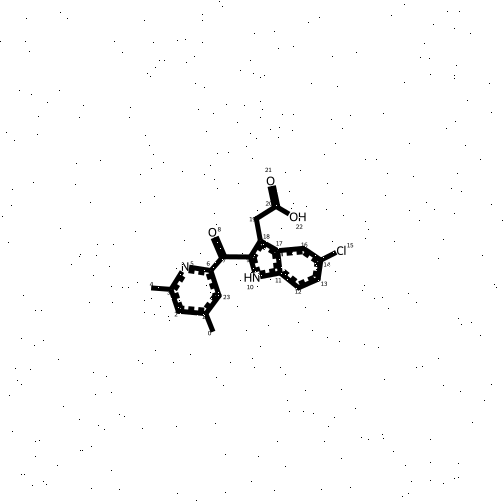 Cc1cc(C)nc(C(=O)c2[nH]c3ccc(Cl)cc3c2CC(=O)O)c1